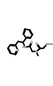 CC(=O)NCC(=O)N(C)CC(=O)NC(Cc1ccccn1)c1ccccc1